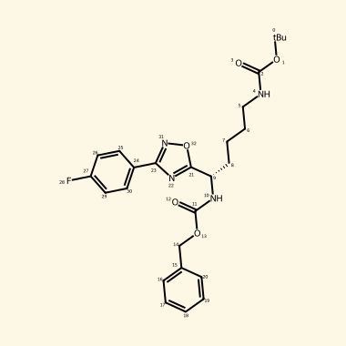 CC(C)(C)OC(=O)NCCCC[C@H](NC(=O)OCc1ccccc1)c1nc(-c2ccc(F)cc2)no1